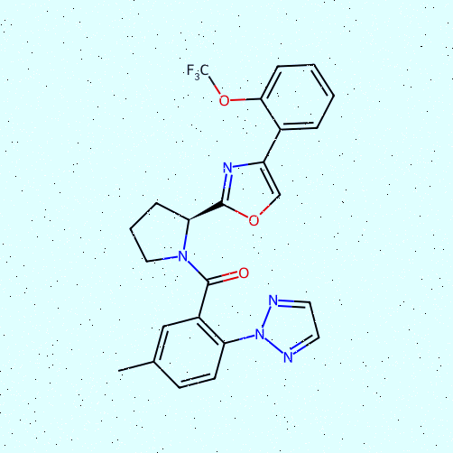 Cc1ccc(-n2nccn2)c(C(=O)N2CCC[C@H]2c2nc(-c3ccccc3OC(F)(F)F)co2)c1